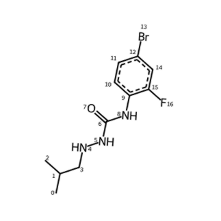 CC(C)CNNC(=O)Nc1ccc(Br)cc1F